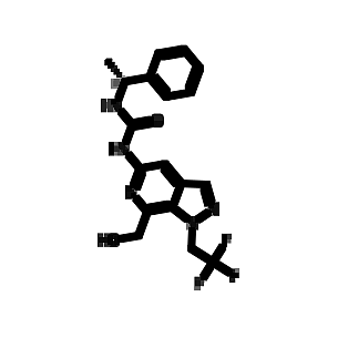 C[C@@H](NC(=O)Nc1cc2cnn(CC(F)(F)F)c2c(CO)n1)c1ccccc1